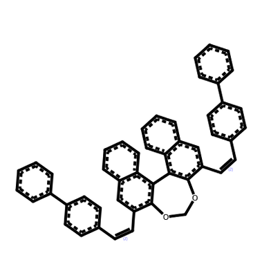 C(=C/c1cc2ccccc2c2c1OCOc1c(/C=C\c3ccc(-c4ccccc4)cc3)cc3ccccc3c1-2)/c1ccc(-c2ccccc2)cc1